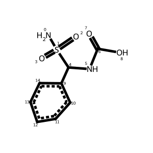 NS(=O)(=O)C(NC(=O)O)c1ccccc1